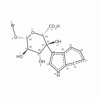 O=C(O)[C@H]1O[C@@H](OBr)[C@H](O)[C@@H](O)[C@@]1(O)c1c[nH]c2ccccc12